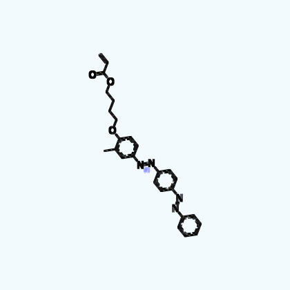 C=CC(=O)OCCCCOc1ccc(/N=N/c2ccc(N=Nc3ccccc3)cc2)cc1C